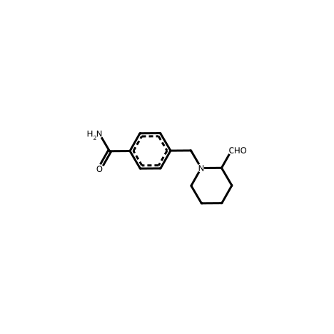 NC(=O)c1ccc(CN2CCCCC2C=O)cc1